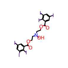 O=C(OCCN(O)CCOC(=O)c1cc(I)cc(I)c1I)c1cc(I)cc(I)c1I